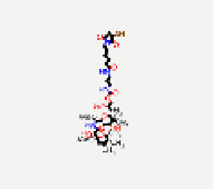 C=C1C[C@](OC)([C@H](O)C(=O)N[C@@H](OC)[C@@H]2C[C@@H](O)C(C)(C)[C@@H](C[C@H](O)COC(=O)NCCCNC(=O)CCCCCN3C(=O)CC(S)C3=O)O2)O[C@H](C)[C@@H]1C